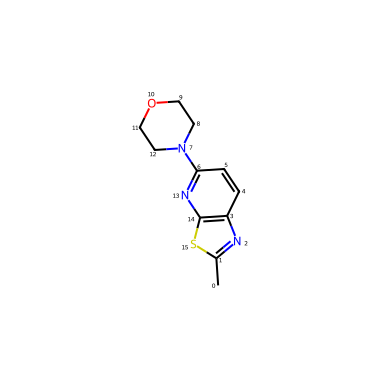 Cc1nc2ccc(N3CCOCC3)nc2s1